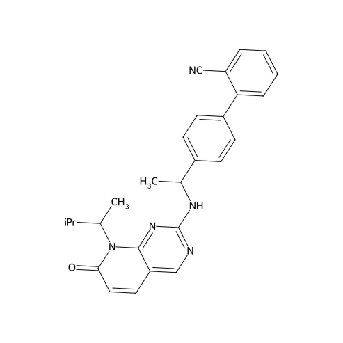 CC(Nc1ncc2ccc(=O)n(C(C)C(C)C)c2n1)c1ccc(-c2ccccc2C#N)cc1